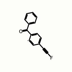 O=C(c1[c]cc(C#CF)cc1)c1ccccc1